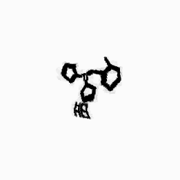 Cc1ccccc1[CH]=[Ti]([C]1=CC=CC1)[C]1=CC=CC1.Cl.Cl